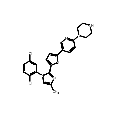 Cc1cn(-c2cc(Cl)ccc2Cl)c(-c2ccc(-c3ccc(N4CCNCC4)nc3)s2)n1